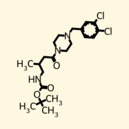 CC(CNC(=O)OC(C)(C)C)CC(=O)N1CCN(Cc2ccc(Cl)c(Cl)c2)CC1